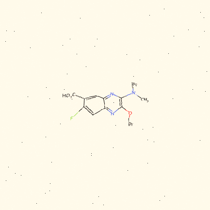 CC(C)Oc1nc2cc(F)c(C(=O)O)cc2nc1N(C)C(C)C